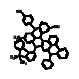 Cc1cc2c3c(c1)N(c1cccc4c1-c1ccccc1C4(C)C)c1cc(N(c4ccccc4)c4ccccc4-c4ccccc4)ccc1B3c1cc(C(C)(C)C)ccc1N2c1ccc(C(C)(C)C)cc1